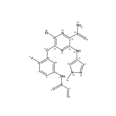 C=CC(=O)Nc1ccc(F)c(Oc2nc(Nc3cnn(C)c3)c(C(N)=O)nc2CC)c1